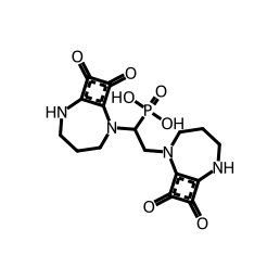 O=c1c2c(c1=O)N(CC(N1CCCNc3c1c(=O)c3=O)P(=O)(O)O)CCCN2